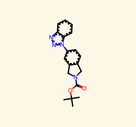 CC(C)(C)OC(=O)N1Cc2ccc(-n3nnc4ccccc43)cc2C1